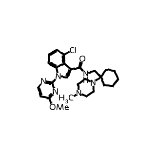 COc1ccnc(-n2cc(C(=O)NCC3(N4CCN(C)CC4)CCCCC3)c3c(Cl)cccc32)n1